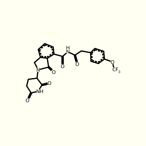 O=C(Cc1ccc(OC(F)(F)F)cc1)NC(=O)c1cccc2c1C(=O)N(C1CCC(=O)NC1=O)C2